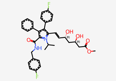 COC(=O)C[C@H](O)C[C@@H](O)C=Cc1c(-c2ccc(F)cc2)c(-c2ccccc2)c(C(=O)NCc2ccc(F)cc2)n1C(C)C